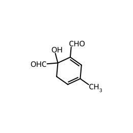 CC1=CCC(O)(C=O)C(C=O)=C1